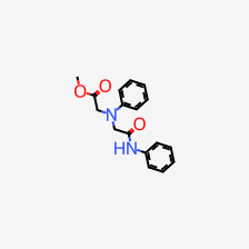 COC(=O)CN(CC(=O)Nc1ccccc1)c1ccccc1